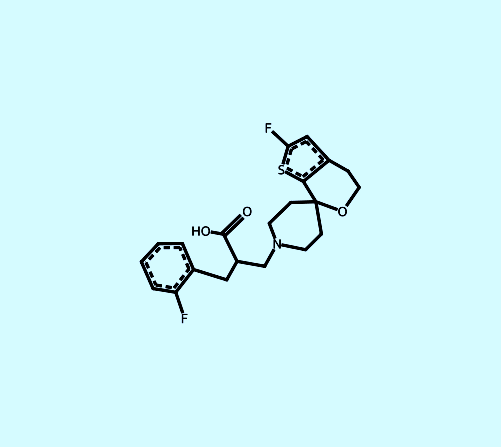 O=C(O)C(Cc1ccccc1F)CN1CCC2(CC1)OCCc1cc(F)sc12